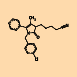 CC1=C(c2ccccc2)N(Cc2ccc(Cl)cc2)C(=O)C1CCCCC#N